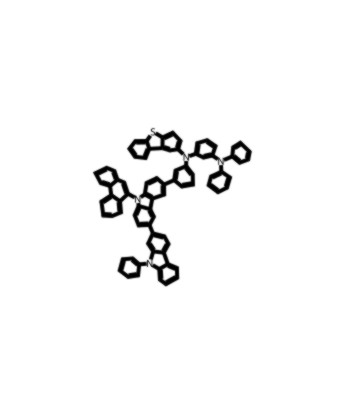 c1ccc(N(c2ccccc2)c2cccc(N(c3cccc(-c4ccc5c(c4)c4cc(-c6ccc7c8ccccc8n(-c8ccccc8)c7c6)ccc4n5-c4cc5ccccc5c5ccccc45)c3)c3ccc4sc5ccccc5c4c3)c2)cc1